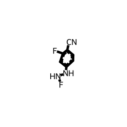 N#Cc1ccc(NNF)cc1F